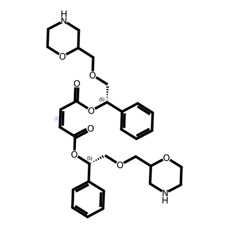 O=C(/C=C\C(=O)O[C@H](COCC1CNCCO1)c1ccccc1)O[C@H](COCC1CNCCO1)c1ccccc1